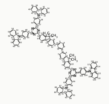 CC1(C)c2cc(-c3cccc(-c4ccc5c(c4)C(C)(C)c4cc(-c6nc(-c7ccc(-n8c9ccccc9c9ccccc98)cc7)nc(-c7ccc(-n8c9ccccc9c9ccccc98)cc7)n6)ccc4-5)c3)ccc2-c2ccc(-c3nc(-c4ccc(-n5c6ccccc6c6ccccc65)cc4)nc(-c4ccc(-n5c6ccccc6c6ccccc65)cc4)n3)cc21